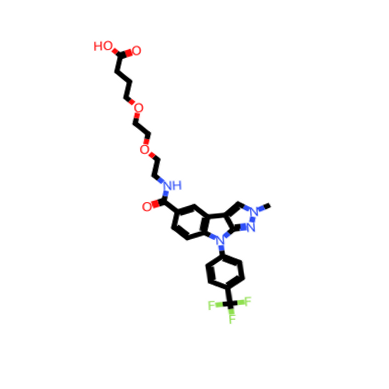 Cn1cc2c3cc(C(=O)NCCOCCOCCCC(=O)O)ccc3n(-c3ccc(C(F)(F)F)cc3)c2n1